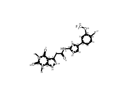 Cn1c(=O)c2c(CC(=O)Nc3nc(-c4ccc(F)c(OC(F)(F)F)c4)cs3)snc2n(C)c1=O